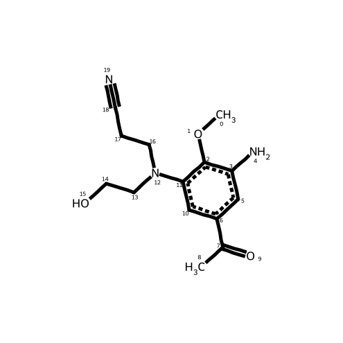 COc1c(N)cc(C(C)=O)cc1N(CCO)CCC#N